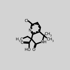 CCC1(C(=O)O)C(=O)NC(C)(C)c2ccc(Cl)nc21